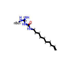 C=CCCCCCCCCNC(=O)NC(=N)NCCCC